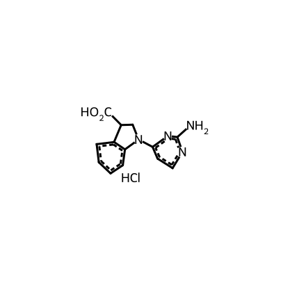 Cl.Nc1nccc(N2CC(C(=O)O)c3ccccc32)n1